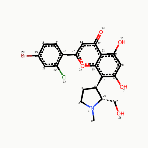 CN1CC[C@@H](c2c(O)cc(O)c3c(=O)cc(-c4ccc(Br)cc4Cl)oc23)[C@@H]1CO